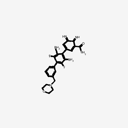 BC(=O)C1=CC(c2c(B)c(F)c(-c3cccc(CN4CCOCC4)c3)c(F)c2B)=CC(=N)C1=N